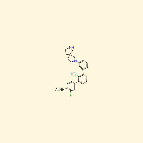 CC(=O)Nc1ccc(-c2cccc(-c3cccc(N4CCC5(CCNC5)C4)c3)c2O)cc1F